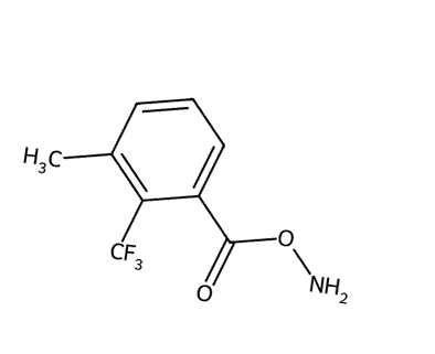 Cc1cccc(C(=O)ON)c1C(F)(F)F